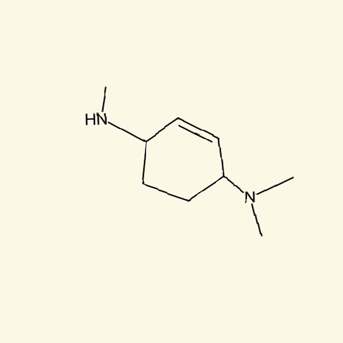 CNC1C=CC(N(C)C)CC1